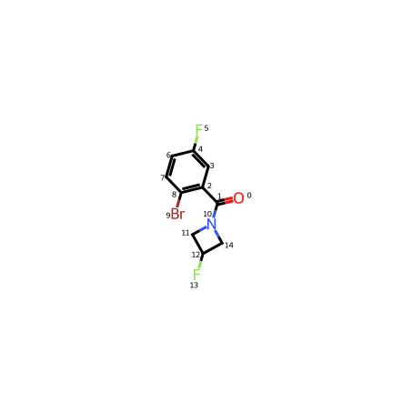 O=C(c1cc(F)ccc1Br)N1CC(F)C1